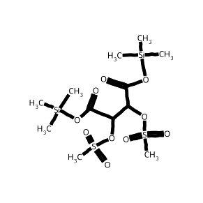 C[Si](C)(C)OC(=O)C(OS(C)(=O)=O)C(OS(C)(=O)=O)C(=O)O[Si](C)(C)C